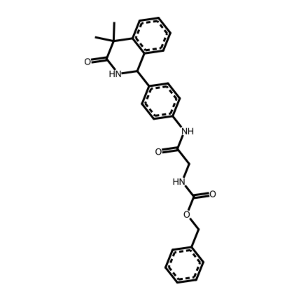 CC1(C)C(=O)NC(c2ccc(NC(=O)CNC(=O)OCc3ccccc3)cc2)c2ccccc21